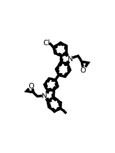 Cc1ccc2c(c1)c1cc(-c3ccc4c(c3)c3cc(Cl)ccc3n4CC3CO3)ccc1n2CC1CO1